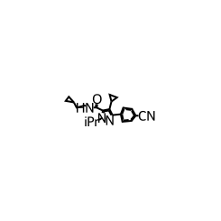 CC(C)n1nc(-c2ccc(C#N)cc2)c(C2CC2)c1C(=O)NCCC1CC1